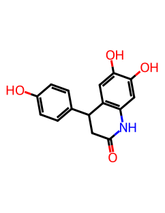 O=C1CC(c2ccc(O)cc2)c2cc(O)c(O)cc2N1